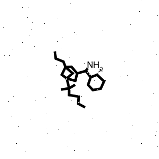 CCCCC(C)(C)C12CC(C(N)C3CCCC[C@H]3C)CC(CCC)(C1)C2